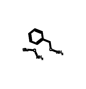 CC(C)(C)ON.NOCc1ccccc1